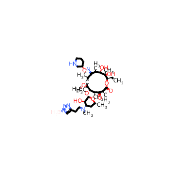 Bn1cc(CCN(C)[C@H]2C[C@@H](C)O[C@@H](O[C@@H]3[C@@H](C)C(=O)[C@@H](C)C(=O)O[C@H](CC)[C@@](C)(O)[C@H](O)[C@H](C)/C(=N/O[C@@H]4CCCNC4)[C@H](C)C[C@@]3(C)OC)[C@@H]2O)nn1